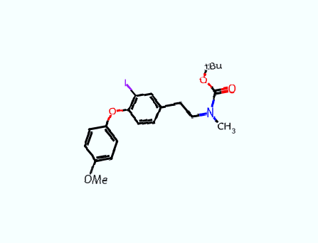 COc1ccc(Oc2ccc(CCN(C)C(=O)OC(C)(C)C)cc2I)cc1